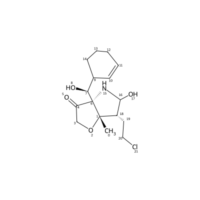 C[C@@]12OCC(=O)[C@]1([C@@H](O)C1C=CCCC1)NC(O)[C@@H]2CCCl